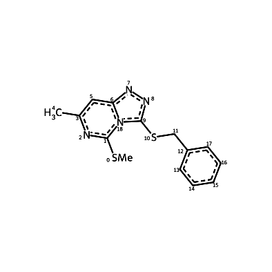 CSc1nc(C)cc2nnc(SCc3ccccc3)n12